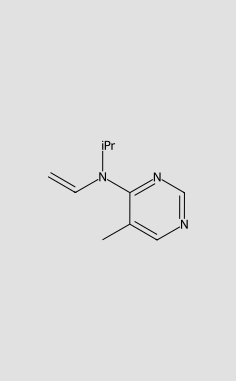 C=CN(c1ncncc1C)C(C)C